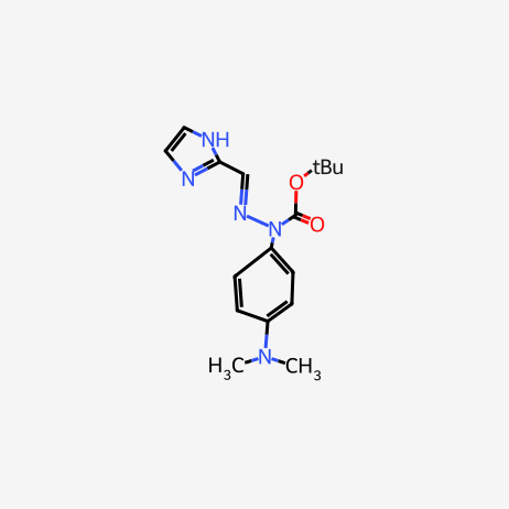 CN(C)c1ccc(N(/N=C/c2ncc[nH]2)C(=O)OC(C)(C)C)cc1